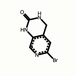 O=C1NCc2cc(Br)ncc2N1